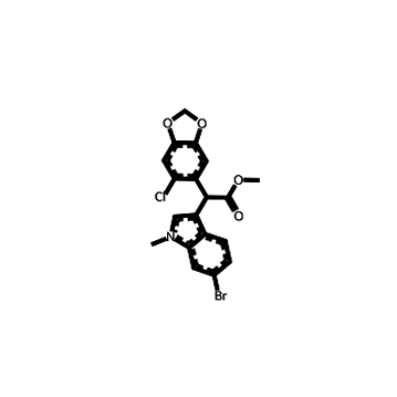 COC(=O)C(c1cc2c(cc1Cl)OCO2)c1cn(C)c2cc(Br)ccc12